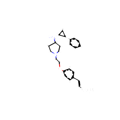 O=C(O)C=Cc1ccc(OCCN2CCC(N[C@@H]3C[C@H]3c3ccccc3)CC2)cc1